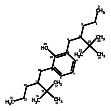 CCCC(Cc1cccc(CC(CCC)C(C)(C)C)c1O)C(C)(C)C